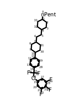 CCCCCC1CCC(CCC2CCC(c3ccc(C(F)(F)Oc4cc(F)c(F)c(F)c4)cc3)CC2)CC1